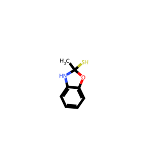 CC1(S)Nc2ccccc2O1